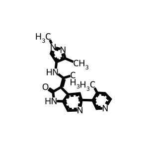 C/C(Nc1cn(C)nc1C)=C1/C(=O)Nc2cnc(-c3cnccc3C)cc21